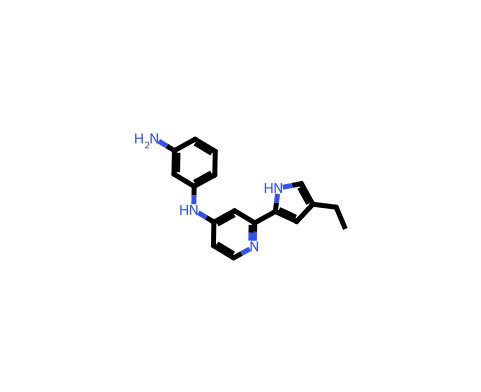 CCc1c[nH]c(-c2cc(Nc3cccc(N)c3)ccn2)c1